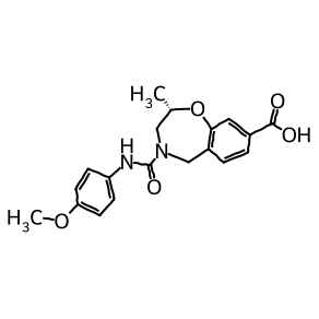 COc1ccc(NC(=O)N2Cc3ccc(C(=O)O)cc3O[C@@H](C)C2)cc1